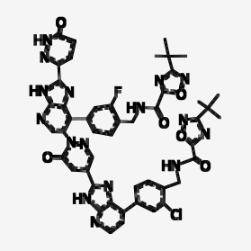 CC(C)(C)c1noc(C(=O)NCc2ccc(-c3c(-n4ncc(-c5nc6c(-c7ccc(CNC(=O)c8nc(C(C)(C)C)no8)c(Cl)c7)ccnc6[nH]5)cc4=O)cnc4[nH]c(-c5ccc(=O)[nH]n5)nc34)cc2F)n1